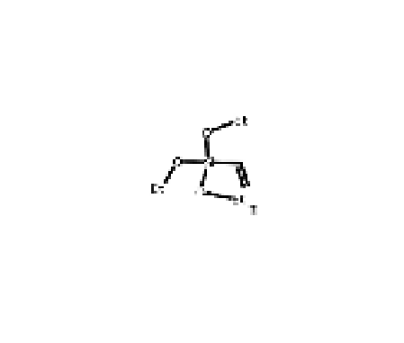 C=C[Si](OCC)(OCC)OCC.[Ti]